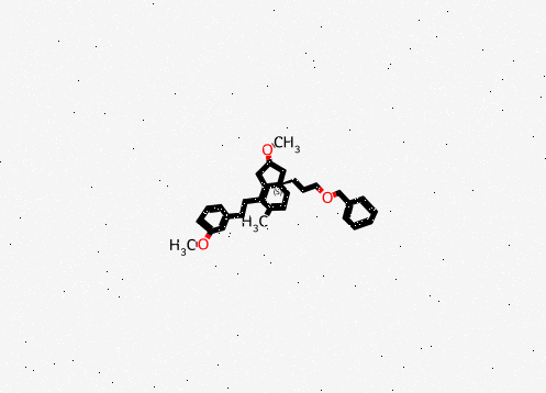 COc1cccc(CCC2=C3CC(OC)C[C@]3(CCCOCc3ccccc3)CC=C2C)c1